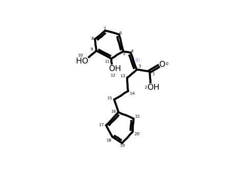 O=C(O)/C(=C/c1cccc(O)c1O)CCCc1ccccc1